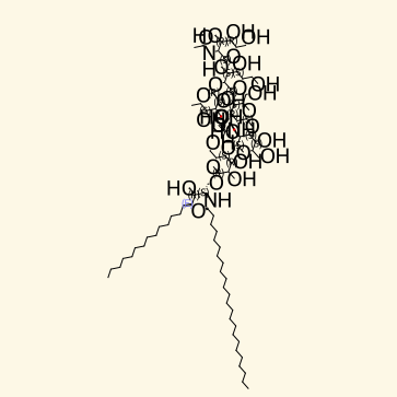 CCCCCCCCCCCCC/C=C/[C@@H](O)[C@H](CO[C@@H]1OC(CO)[C@@H](O[C@@H]2OC(CO)[C@H](O)[C@H](O[C@@H]3OC(CO)[C@@H](O[C@@H]4OC(CO)[C@H](O)[C@H](O[C@@H]5OC(CO)[C@H](O)[C@H](O)C5NC(C)=O)C4O[C@H]4OC(C)[C@@H](O)C(O)[C@@H]4O)[C@H](O)C3NC(C)=O)C2O)[C@H](O)C1O)NC(=O)CCCCCCCCCCCCCCCCCCCCCCC